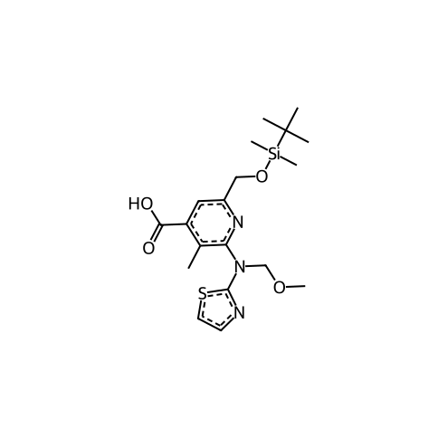 COCN(c1nccs1)c1nc(CO[Si](C)(C)C(C)(C)C)cc(C(=O)O)c1C